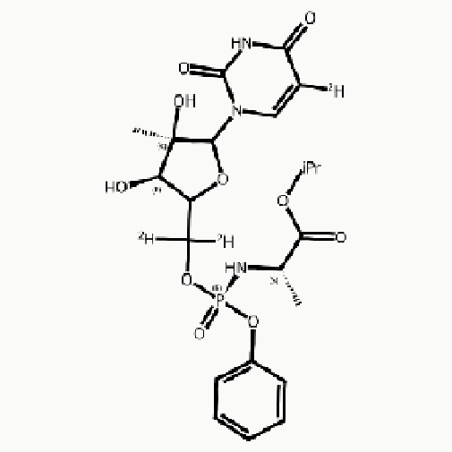 [2H]c1cn(C2OC(C([2H])([2H])O[P@](=O)(N[C@@H](C)C(=O)OC(C)C)Oc3ccccc3)[C@@H](O)[C@@]2(C)O)c(=O)[nH]c1=O